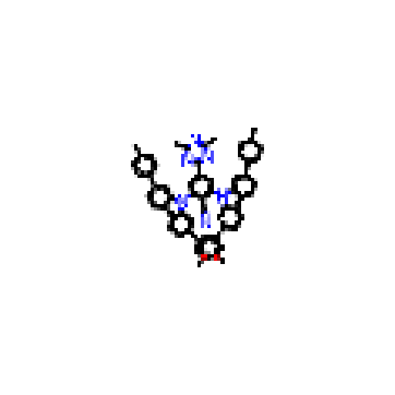 Cc1ccc(-c2ccc3c4ccc(-c5ccc(C)cc5)cc4n(-c4cc(-c5nc(C)nc(C)n5)cc(-n5c6cc(-c7ccc(C)cc7)ccc6c6ccc(-c7ccc(C)cc7)cc65)c4C#N)c3c2)cc1